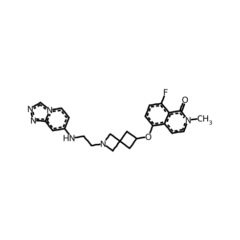 Cn1ccc2c(OC3CC4(C3)CN(CCNc3ccn5cnnc5c3)C4)ccc(F)c2c1=O